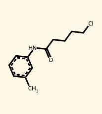 Cc1cccc(NC(=O)CCCCCl)c1